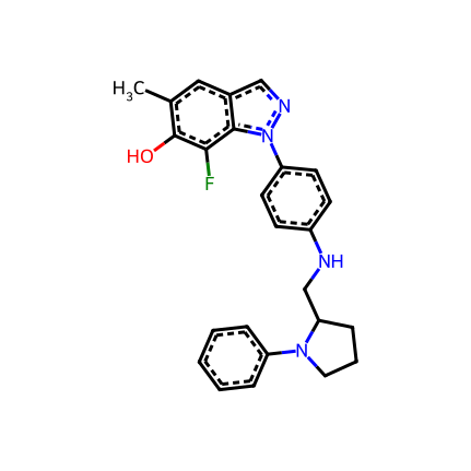 Cc1cc2cnn(-c3ccc(NCC4CCCN4c4ccccc4)cc3)c2c(F)c1O